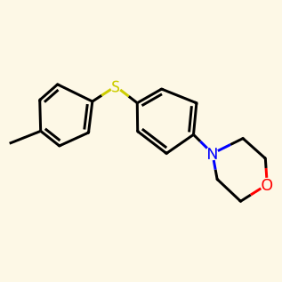 Cc1ccc(Sc2ccc(N3CCOCC3)cc2)cc1